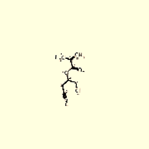 C=C(C)C(=O)OC(CCl)CC#N